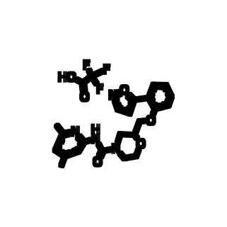 Cc1cc(C)nc(NC(=O)N2CCOC(COc3ccccc3-c3ccno3)C2)c1.O=C(O)C(F)(F)F